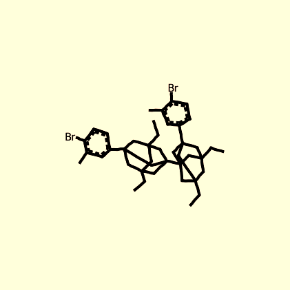 CCC12CC3(CC)CC(c4ccc(Br)c(C)c4)(C1)CC(C14CC5(CC)CC(CC)(CC(c6ccc(Br)c(C)c6)(C5)C1)C4)(C2)C3